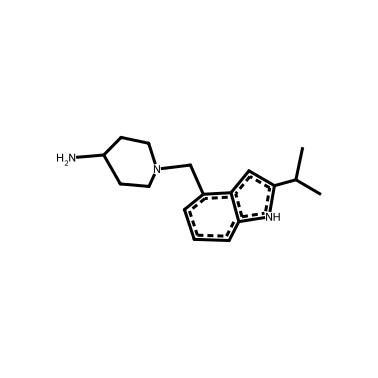 CC(C)c1cc2c(CN3CCC(N)CC3)cccc2[nH]1